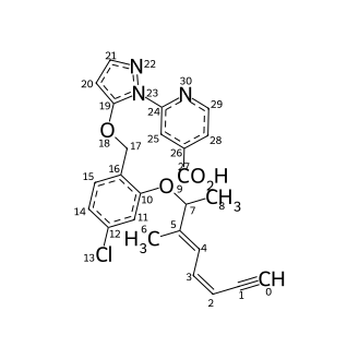 C#C/C=C\C=C(/C)C(C)Oc1cc(Cl)ccc1COc1ccnn1-c1cc(C(=O)O)ccn1